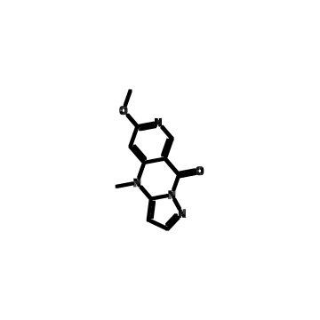 COc1cc2c(cn1)c(=O)n1nccc1n2C